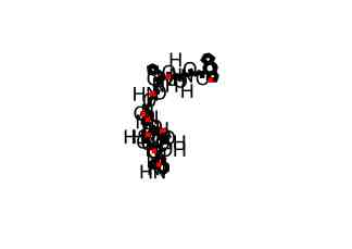 O=C(CCC(=O)C1Cc2ccccc2C#Cc2ccccc21)NCC(=O)NCC(=O)N[C@@H](Cc1ccccc1)C(=O)NCC(=O)NCOCCn1cnc2c(ncn2[C@@H]2O[C@@H]3COP(=O)(S)OC4[C@@H](O)[C@H](n5cc6c7c(ncnc75)NCCC6)O[C@@H]4COP(=O)(S)O[C@@H]2[C@@H]3O)c1=O